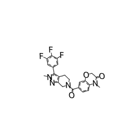 CN1C(=O)COc2cc(C(=O)N3CCc4c(nn(C)c4-c4cc(F)c(F)c(F)c4)C3)ccc21